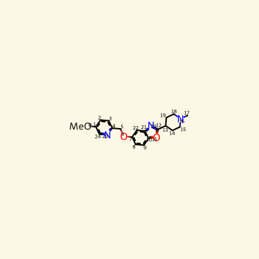 COc1ccc(COc2ccc3oc(C4CCN(C)CC4)nc3c2)nc1